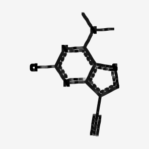 C#Cc1csc2c(N(C)C)nc(Cl)nc12